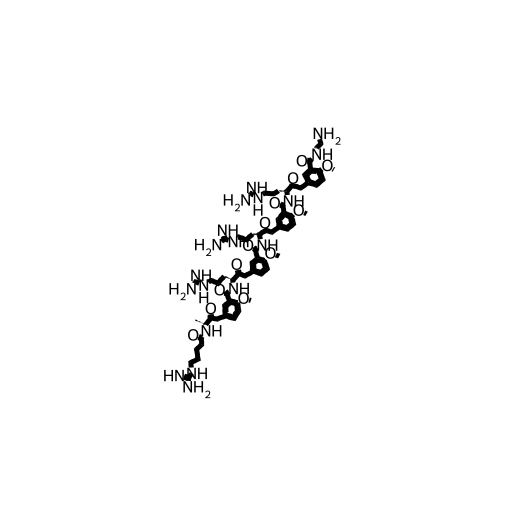 COc1ccc(CC(=O)[C@@H](CCCNC(=N)N)NC(=O)c2cc(CC(=O)[C@@H](CCCNC(=N)N)NC(=O)c3cc(CC(=O)[C@@H](CCCNC(=N)N)NC(=O)c4cc(CC(=O)[C@@H](C)NC(=O)CCCCNC(=N)N)ccc4OC)ccc3OC)ccc2OC)cc1C(=O)NCCN